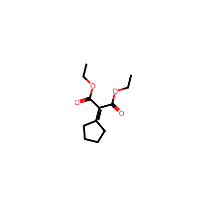 CCOC(=O)C(C(=O)OCC)=C1CCCC1